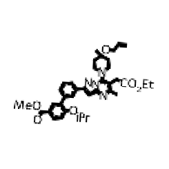 C=CCOC1(C)CCN(c2c(CC(=O)OCC)c(C)nc3cc(-c4cccc(-c5cc(C(=O)OC)ccc5OC(C)C)c4)nn23)CC1